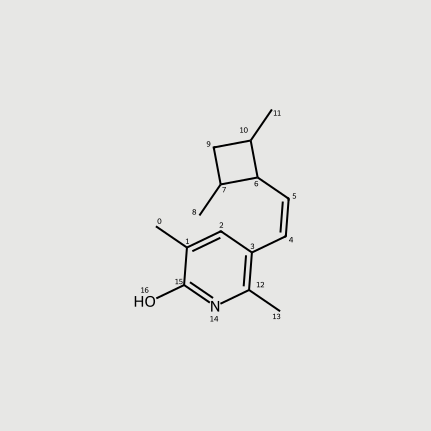 Cc1cc(/C=C\C2C(C)CC2C)c(C)nc1O